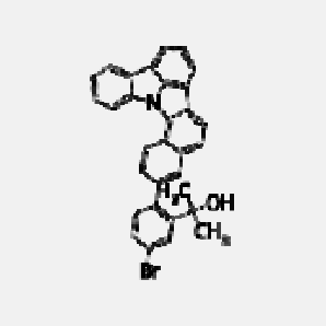 CC(C)(O)c1cc(Br)ccc1-c1ccc2c(ccc3c4cccc5c6ccccc6n(c23)c54)c1